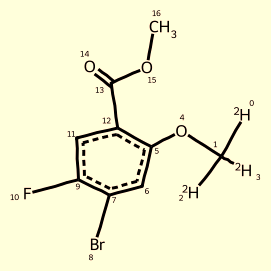 [2H]C([2H])([2H])Oc1cc(Br)c(F)cc1C(=O)OC